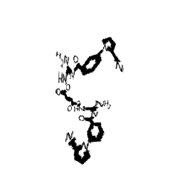 N#Cc1cccn1-c1cccc(C(=O)N=C(N)NOC(=O)/C=C/C(=O)ONC(N)=NC(=O)c2cccc(-n3cccc3C#N)c2)c1